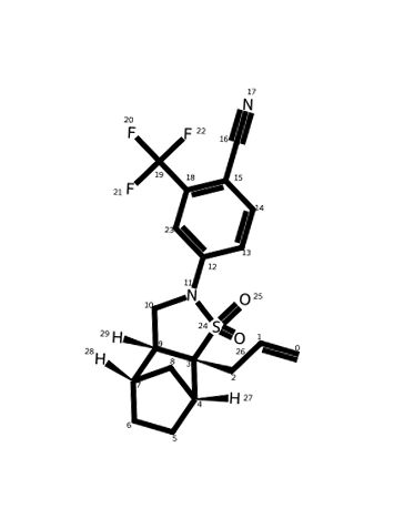 C=CC[C@@]12[C@@H]3CC[C@@H](C3)[C@@H]1CN(c1ccc(C#N)c(C(F)(F)F)c1)S2(=O)=O